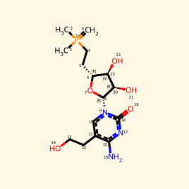 C=P(C)(C)CC[C@H]1O[C@@H](n2cc(CCO)c(N)nc2=O)[C@H](O)[C@@H]1O